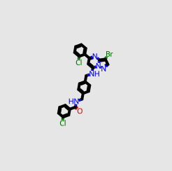 O=C(NCc1ccc(CNc2cc(-c3ccccc3Cl)nc3c(Br)cnn23)cc1)c1cccc(Cl)c1